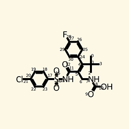 CC(C)(C)/C(=C(\CNC(=O)O)C(=O)NS(=O)(=O)c1ccc(Cl)cc1)c1ccc(F)cc1